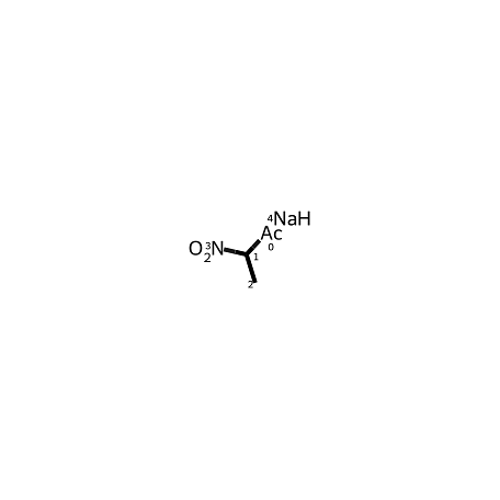 CC(=O)C(C)[N+](=O)[O-].[NaH]